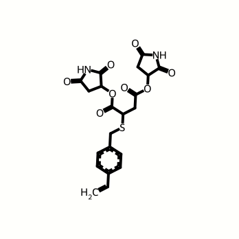 C=Cc1ccc(CSC(CC(=O)OC2CC(=O)NC2=O)C(=O)OC2CC(=O)NC2=O)cc1